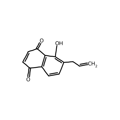 C=CCc1ccc2c(c1O)C(=O)C=CC2=O